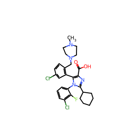 CN1CCN(Cc2ccc(Cl)cc2-c2c(C(=O)O)nc(C3CCCCC3)n2-c2cccc(Cl)c2F)CC1